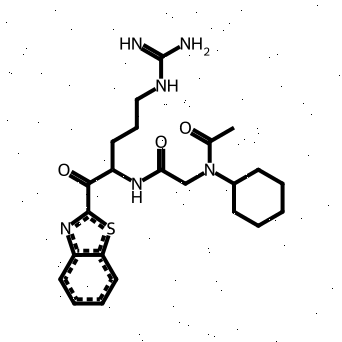 CC(=O)N(CC(=O)NC(CCCNC(=N)N)C(=O)c1nc2ccccc2s1)C1CCCCC1